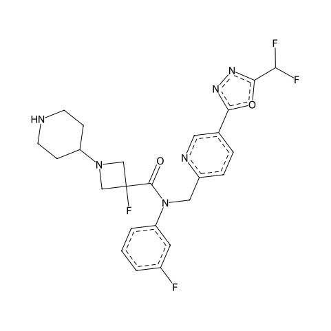 O=C(N(Cc1ccc(-c2nnc(C(F)F)o2)cn1)c1cccc(F)c1)C1(F)CN(C2CCNCC2)C1